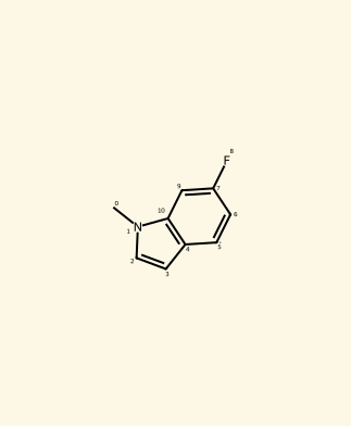 Cn1ccc2[c]cc(F)cc21